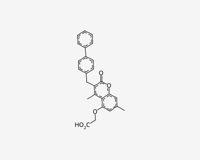 Cc1cc(OCC(=O)O)c2c(C)c(Cc3ccc(-c4ccccc4)cc3)c(=O)oc2c1